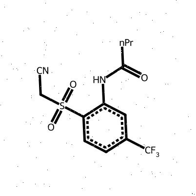 CCCC(=O)Nc1cc(C(F)(F)F)ccc1S(=O)(=O)CC#N